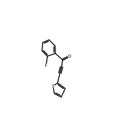 O=C(C#Cc1cccs1)c1ccccc1F